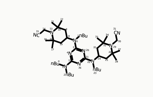 CCCCN(CCCC)c1nc(N(CCCC)C2CC(C)(C)N(CC#N)C(C)(C)C2)nc(N(CCCC)C2CC(C)(C)N(CC#N)C(C)(C)C2)n1